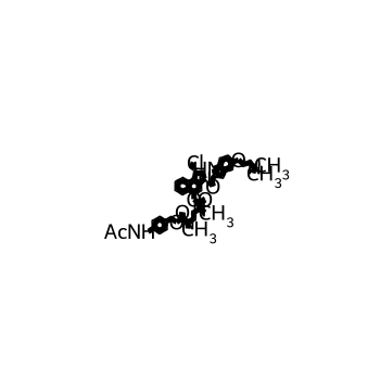 CC(=O)Nc1ccc(COC(=O)N(C)CCN(C)C(=O)Oc2cc3c(c4ccccc24)[C@H](CCl)CN3C(=O)c2cc3cc(OCCN(C)C)ccc3[nH]2)cc1